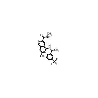 CNC(=O)c1cc2c(NC(C)c3cccc(C(F)(F)F)c3)nc(C)nc2cn1